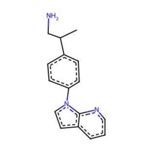 CC(CN)c1ccc(-n2ccc3cccnc32)cc1